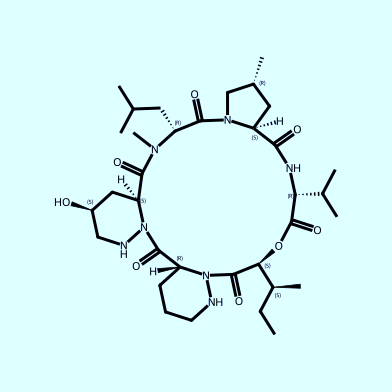 CC[C@H](C)[C@@H]1OC(=O)[C@@H](C(C)C)NC(=O)[C@@H]2C[C@@H](C)CN2C(=O)[C@@H](CC(C)C)N(C)C(=O)[C@@H]2C[C@H](O)CNN2C(=O)[C@H]2CCCNN2C1=O